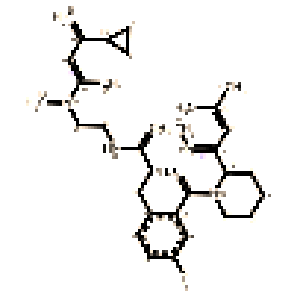 C=C(CCc1ccc(F)cc1C(=C)N1CCCCC1/C(C=C(C)C)=N/C)NCCN(C)/C(C)=C/C(=C)C1CC1